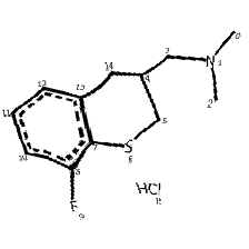 CN(C)CC1CSc2c(F)cccc2C1.Cl